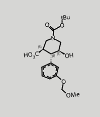 COCOc1cccc([C@H]2[C@H](O)CN(C(=O)OC(C)(C)C)C[C@@H]2C(=O)O)c1